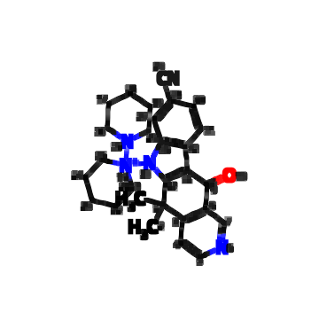 CC1(C)c2ccncc2C(=O)c2c1n([N+]1(N3CCCCC3)CCCCC1)c1cc(C#N)ccc21